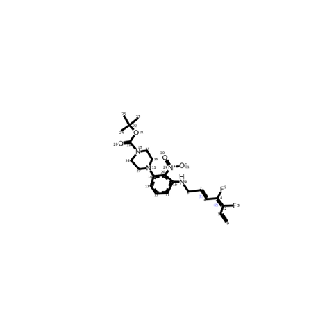 C=C/C(F)=C(F)\C=C\CNc1cccc(N2CCN(C(=O)OC(C)(C)C)CC2)c1[N+](=O)[O-]